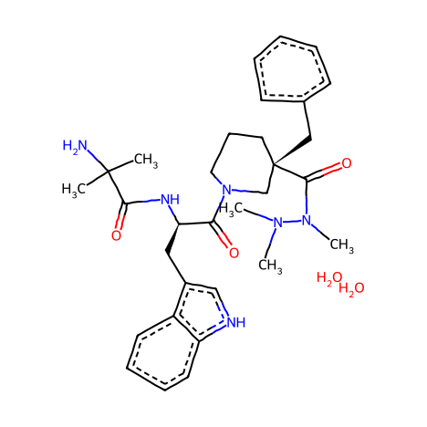 CN(C)N(C)C(=O)[C@@]1(Cc2ccccc2)CCCN(C(=O)[C@@H](Cc2c[nH]c3ccccc23)NC(=O)C(C)(C)N)C1.O.O